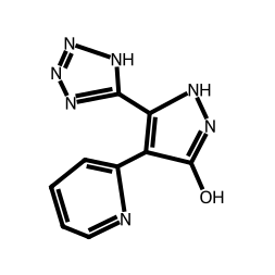 Oc1n[nH]c(-c2nnn[nH]2)c1-c1ccccn1